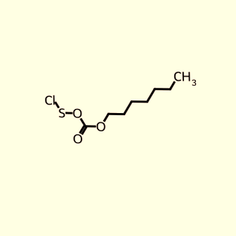 CCCCCCCOC(=O)OSCl